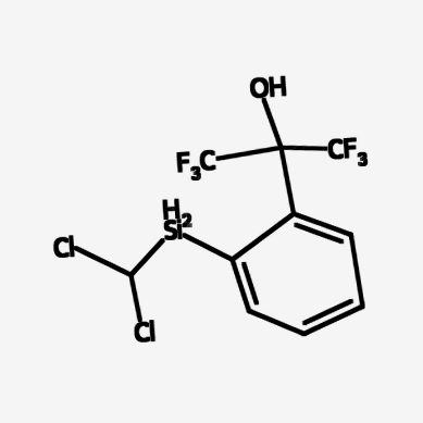 OC(c1ccccc1[SiH2]C(Cl)Cl)(C(F)(F)F)C(F)(F)F